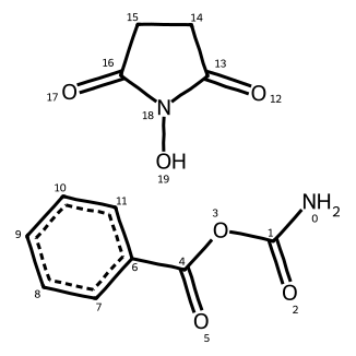 NC(=O)OC(=O)c1ccccc1.O=C1CCC(=O)N1O